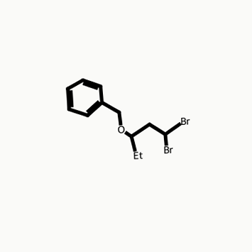 CCC(CC(Br)Br)OCc1ccccc1